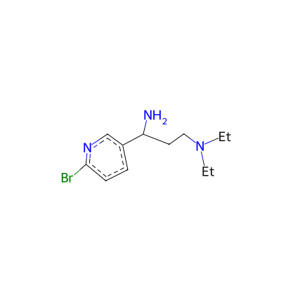 CCN(CC)CCC(N)c1ccc(Br)nc1